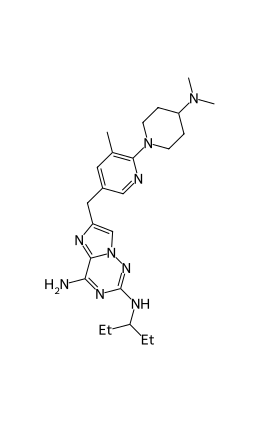 CCC(CC)Nc1nc(N)c2nc(Cc3cnc(N4CCC(N(C)C)CC4)c(C)c3)cn2n1